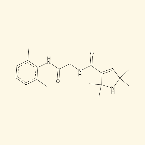 Cc1cccc(C)c1NC(=O)CNC(=O)C1=CC(C)(C)NC1(C)C